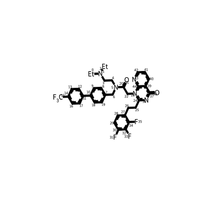 CCN(CC)CCN(Cc1ccc(-c2ccc(C(F)(F)F)cc2)cc1)C(=O)Cn1c(CCc2ccc(F)c(F)c2F)nc(=O)c2cccnc21